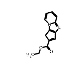 CCOC(=O)C1=Cc2nc3ccccn3c2C1